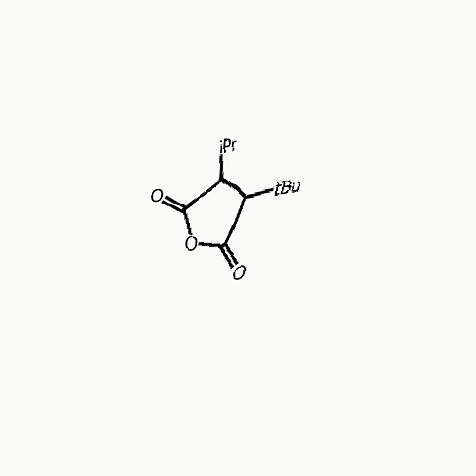 CC(C)C1C(=O)OC(=O)C1C(C)(C)C